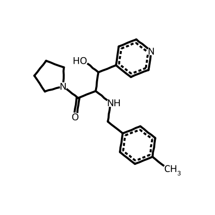 Cc1ccc(CNC(C(=O)N2CCCC2)C(O)c2ccncc2)cc1